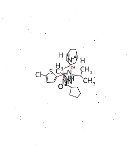 Cc1nnc(C(C)C)n1[C@@H]1C[C@H]2CC[C@@H](C1)N2CC[C@H](NC(=O)C1CCCC1)c1ccc(Cl)s1